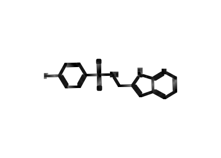 O=S(=O)(NCc1cc2cccnc2[nH]1)c1ccc(F)cc1